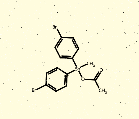 CC(=O)[O][Sn]([CH3])([c]1ccc(Br)cc1)[c]1ccc(Br)cc1